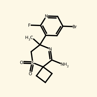 CC1(c2cc(Br)cnc2F)CS(=O)(=O)C2(CCC2)C(N)=N1